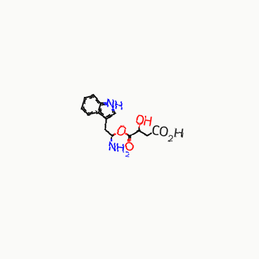 NC(Cc1c[nH]c2ccccc12)OC(=O)C(O)CC(=O)O